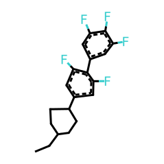 CCC1CCC(c2cc(F)c(-c3cc(F)c(F)c(F)c3)c(F)c2)CC1